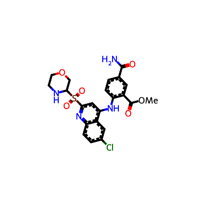 COC(=O)c1cc(C(N)=O)ccc1Nc1cc(S(=O)(=O)C2COCCN2)nc2ccc(Cl)cc12